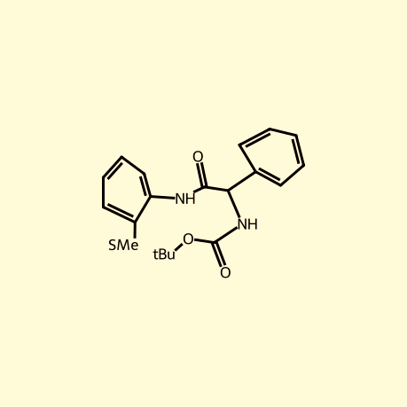 CSc1ccccc1NC(=O)C(NC(=O)OC(C)(C)C)c1ccccc1